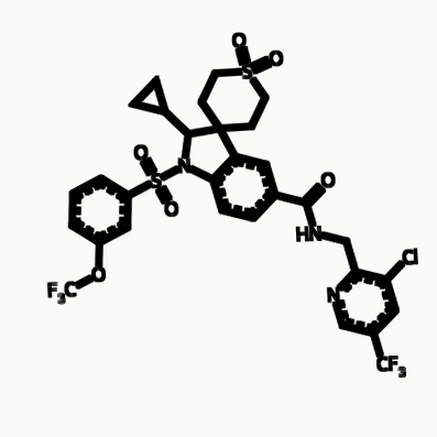 O=C(NCc1ncc(C(F)(F)F)cc1Cl)c1ccc2c(c1)C1(CCS(=O)(=O)CC1)C(C1CC1)N2S(=O)(=O)c1cccc(OC(F)(F)F)c1